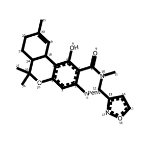 CCCCCc1cc2c(c(O)c1C(=O)N(C)Cc1ccon1)C1C=C(C)CCC1C(C)(C)O2